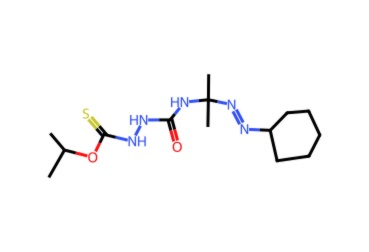 CC(C)OC(=S)NNC(=O)NC(C)(C)N=NC1CCCCC1